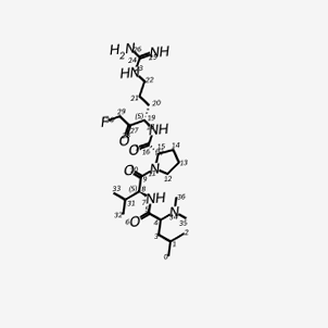 CC(C)CC(C(=O)N[C@H](C(=O)N1CCC[C@H]1C(=O)N[C@@H](CCCNC(=N)N)C(=O)CF)C(C)C)N(C)C